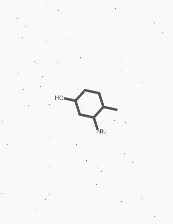 CCCCC1CC(O)CCC1C